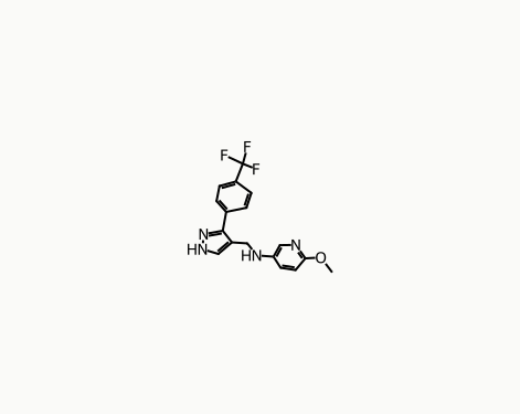 COc1ccc(NCc2c[nH]nc2-c2ccc(C(F)(F)F)cc2)cn1